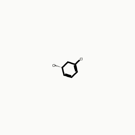 ClC1=CC=C[C@H](Cl)[CH]1